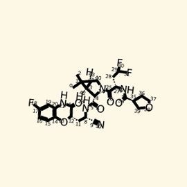 CC1(C)[C@@H]2[C@@H](C(=O)N[C@H](C#N)C[C@@H]3Oc4ccc(F)cc4NC3=O)N(C(=O)[C@H](CC(F)F)NC(=O)[C@H]3CCOC3)C[C@@H]21